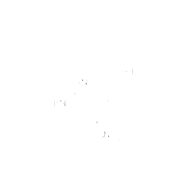 C[S+]([O-])c1nc(N)c(C(N)=O)s1